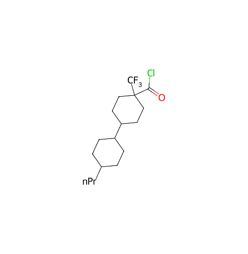 CCCC1CCC(C2CCC(C(=O)Cl)(C(F)(F)F)CC2)CC1